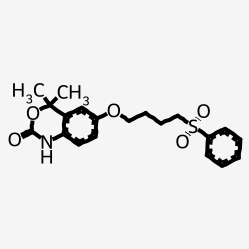 CC1(C)OC(=O)Nc2ccc(OCCCCS(=O)(=O)c3ccccc3)cc21